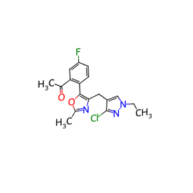 CCn1cc(Cc2nc(C)oc2-c2ccc(F)cc2C(C)=O)c(Cl)n1